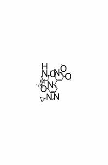 COc1cc(-c2cc3ncn(C4CC4)c3c(O[C@H](C)[C@H]3CNC(=O)C3)n2)cnc1OC